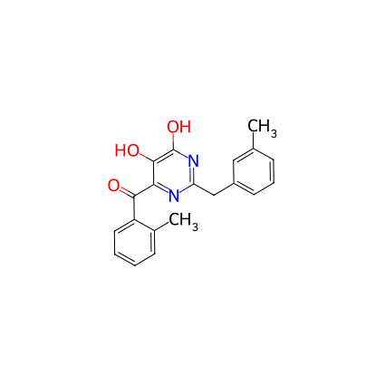 Cc1cccc(Cc2nc(O)c(O)c(C(=O)c3ccccc3C)n2)c1